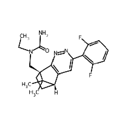 CCN(C[C@@]12CC[C@@H](c3cc(-c4c(F)cccc4F)nnc31)C2(C)C)C(N)=O